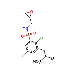 CCC(Cc1cc(F)cc(S(=O)(=O)N(C)CC2CO2)c1Cl)C(=O)O